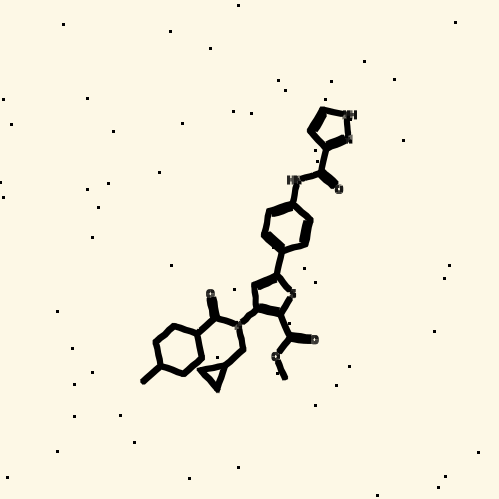 COC(=O)c1sc(-c2ccc(NC(=O)c3cc[nH]n3)cc2)cc1N(CC1CC1)C(=O)C1CCC(C)CC1